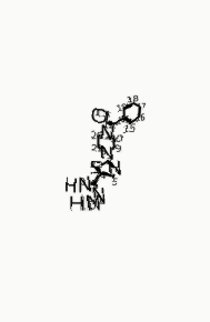 N=NC(=N)c1cnc(N2CCN(C(=O)c3ccccc3)CC2)s1